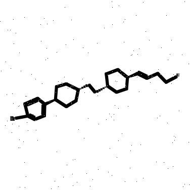 FCCC=C[C@H]1CC[C@H](CC[C@H]2CC[C@H](c3ccc(Br)cc3)CC2)CC1